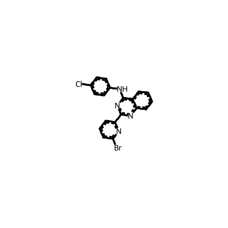 Clc1ccc(Nc2nc(-c3cccc(Br)n3)nc3ccccc23)cc1